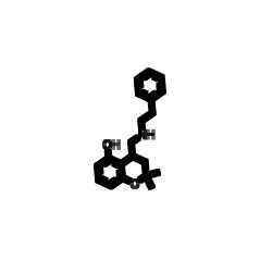 CC1(C)CC(CNCCc2ccccc2)c2c(O)cccc2O1